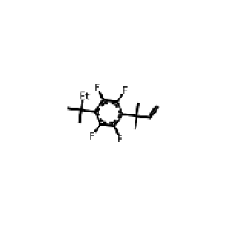 C=CC(C)(C)c1c(F)c(F)c(C(C)(C)CC)c(F)c1F